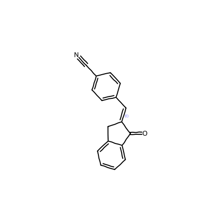 N#Cc1ccc(/C=C2\Cc3ccccc3C2=O)cc1